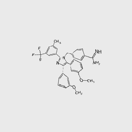 COc1cccc(-c2nc(-c3cc(C)cc(C(F)(F)F)c3)n(Cc3ccc(C(=N)N)cc3)c2-c2cccc(OC)c2)c1